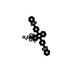 CC(C)(C)c1ccc2c(-c3ccc(-c4nc5ccccc5s4)cc3)c3ccccc3c(-c3ccc(-c4nc5ccccc5s4)cc3)c2c1